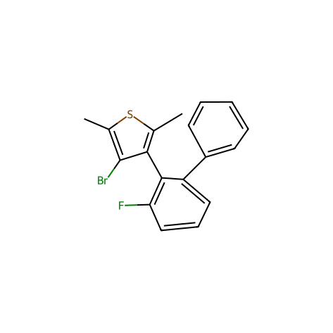 Cc1sc(C)c(-c2c(F)cccc2-c2ccccc2)c1Br